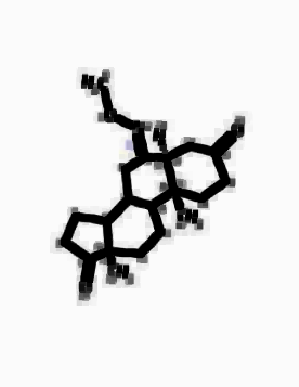 CO/N=C1\CC2C3CCC(=O)[C@@]3(C)CCC2[C@@]2(C)CCC(=O)C[C@H]12